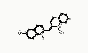 CC[n+]1c(/C=C2\C=Cc3ccccc3N2C)ccc2cc(C)ccc21